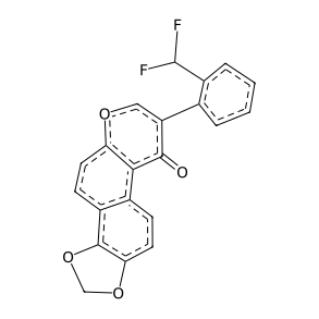 O=c1c(-c2ccccc2C(F)F)coc2ccc3c4c(ccc3c12)OCO4